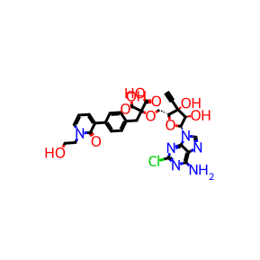 C#C[C@@]1(O)[C@@H](COC(Cc2ccc(-c3cccn(CCO)c3=O)cc2)(C(=O)O)C(=O)O)O[C@@H](n2cnc3c(N)nc(Cl)nc32)[C@@H]1O